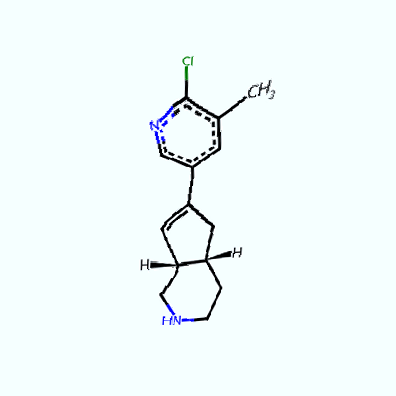 Cc1cc(C2=C[C@H]3CNCC[C@H]3C2)cnc1Cl